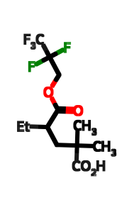 CCC(CC(C)(C)C(=O)O)C(=O)OCC(F)(F)C(F)(F)F